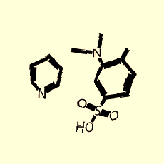 Cc1ccc(S(=O)(=O)O)cc1N(C)C.c1ccncc1